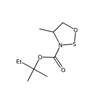 CCC(C)(C)OC(=O)N1SOCC1C